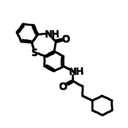 O=C(CCC1CCCCC1)Nc1ccc2c(c1)C(=O)Nc1ccccc1S2